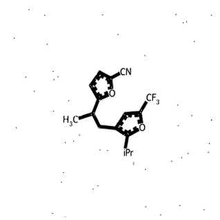 CC(C)c1oc(C(F)(F)F)cc1CC(C)c1ccc(C#N)o1